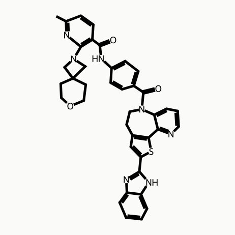 Cc1ccc(C(=O)Nc2ccc(C(=O)N3CCc4cc(-c5nc6ccccc6[nH]5)sc4-c4ncccc43)cc2)c(N2CC3(CCOCC3)C2)n1